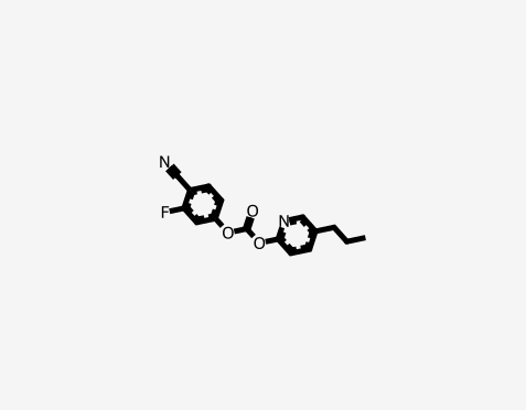 CCCc1ccc(OC(=O)Oc2ccc(C#N)c(F)c2)nc1